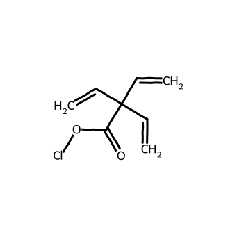 C=CC(C=C)(C=C)C(=O)OCl